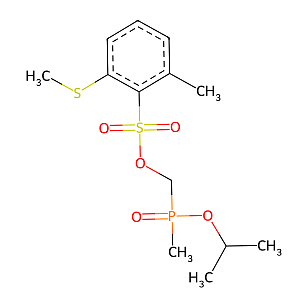 CSc1cccc(C)c1S(=O)(=O)OCP(C)(=O)OC(C)C